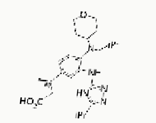 CC(C)CN(c1ccc([C@H](C)CC(=O)O)cc1Nc1nnc(C(C)C)[nH]1)C1CCOCC1